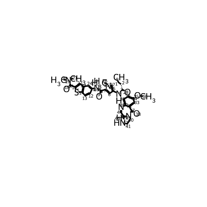 CCC[C@@H](Nc1cc(C(=O)Nc2ccc3sc(C(=O)N(C)C)cc3c2)n(C)c1)Oc1cc2c(cc1OC)C(=O)N1CCN[C@@H]1C=N2